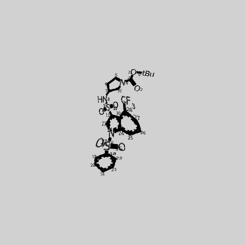 CC(C)(C)OC(=O)N1CCC(NS(=O)(=O)c2cn(S(=O)(=O)c3ccccc3)c3cccc(C(F)(F)F)c23)C1